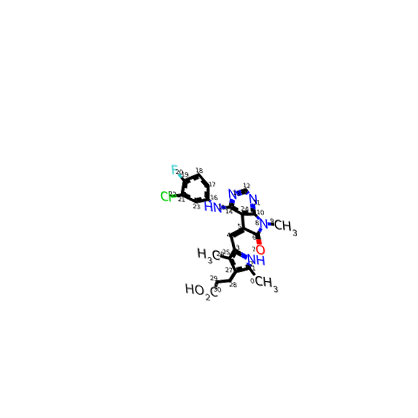 Cc1[nH]c(C=C2C(=O)N(C)c3ncnc(Nc4ccc(F)c(Cl)c4)c32)c(C)c1CCC(=O)O